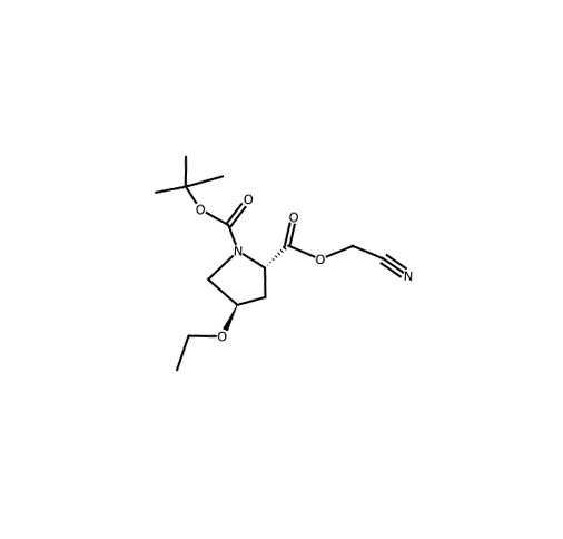 CCO[C@@H]1C[C@@H](C(=O)OCC#N)N(C(=O)OC(C)(C)C)C1